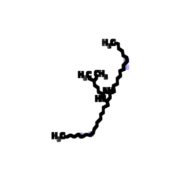 CCCC/C=C/C/C=C\CCCCCCCCC(CCCCCCCC/C=C/C=C\CCCCC)NC(=N)CCCC(CC)CC